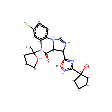 CC1(N2C(=O)C3C(c4nc(C5(O)CCCC5)no4)N=CN3c3ccc(F)cc32)CCCO1